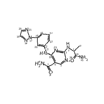 CC(Nc1ncc(C(N)=O)c([AsH]c2cccc(-n3nccn3)c2)n1)C(N)=O